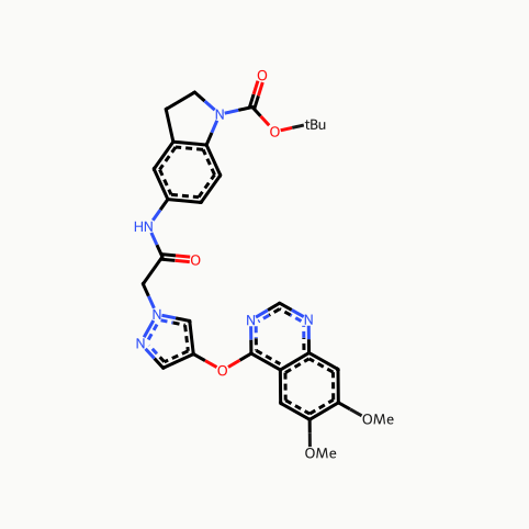 COc1cc2ncnc(Oc3cnn(CC(=O)Nc4ccc5c(c4)CCN5C(=O)OC(C)(C)C)c3)c2cc1OC